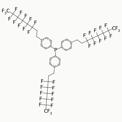 FC(F)(F)C(F)(F)C(F)(F)C(F)(F)C(F)(F)C(F)(F)CCc1ccc(P(c2ccc(CCC(F)(F)C(F)(F)C(F)(F)C(F)(F)C(F)(F)C(F)(F)F)cc2)c2ccc(CCC(F)(F)C(F)(F)C(F)(F)C(F)(F)C(F)(F)C(F)(F)F)cc2)cc1